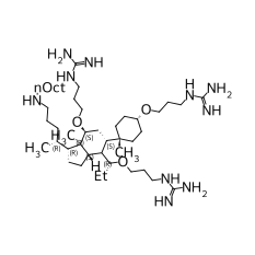 CCCCCCCCNCCC[C@@H](C)[C@H]1CC[C@H]2C([C@@H](CC)OCCCNC(=N)N)[C@@H]([C@]3(C)CC[C@H](OCCCNC(=N)N)CC3)C[C@H](OCCCNC(=N)N)[C@]12C